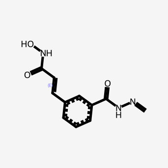 C=NNC(=O)c1cccc(/C=C/C(=O)NO)c1